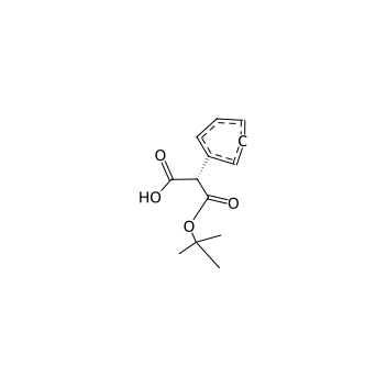 CC(C)(C)OC(=O)[C@H](C(=O)O)c1ccccc1